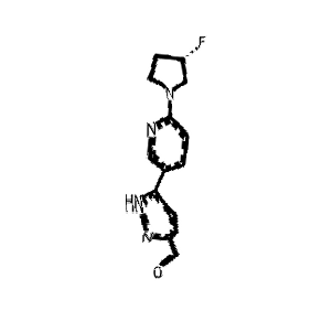 O=Cc1cc(-c2ccc(N3CC[C@H](F)C3)nc2)[nH]n1